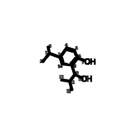 CC(C)c1ccc(O)c(C(O)C(C)C)c1